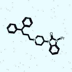 CC(C)n1c(=O)n(C2CCN(CCCC(c3ccccc3)c3ccccc3)CC2)c2ccccc21